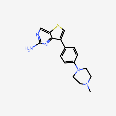 CN1CCN(c2ccc(-c3csc4cnc(N)nc34)cc2)CC1